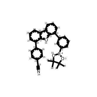 CC1(C)OB(c2cccc(-c3cccc4c3oc3c(-c5ccc(C#N)cc5)cccc34)c2)OC1(C)C